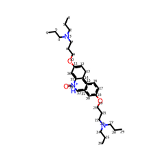 CCCN(CCC)CCCOC1=CCC2=c3ccc(OCCCN(CCC)CCC)cc3=C[NH+]([O-])C2=C1